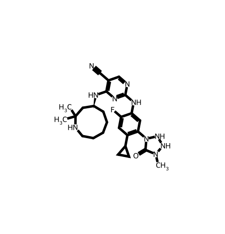 CN1NNN(c2cc(Nc3ncc(C#N)c(N[C@H]4CCCCCNC(C)(C)C4)n3)c(F)cc2C2CC2)C1=O